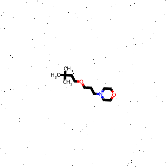 CC(C)(C)CCOCCCN1CCOCC1